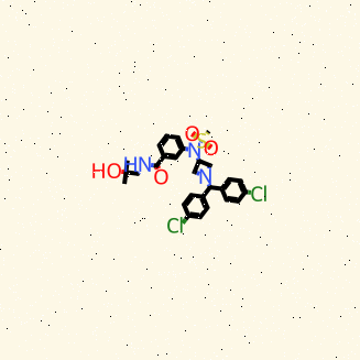 CC(C)(O)CNC(=O)c1cccc(N(C2CN(C(c3ccc(Cl)cc3)c3ccc(Cl)cc3)C2)S(C)(=O)=O)c1